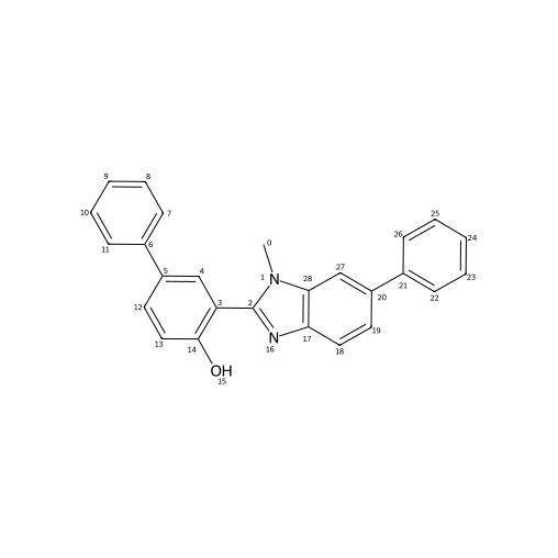 Cn1c(-c2cc(-c3ccccc3)ccc2O)nc2ccc(-c3ccccc3)cc21